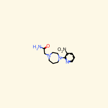 NC(=O)CN1CCCN(c2ncccc2[N+](=O)[O-])CC1